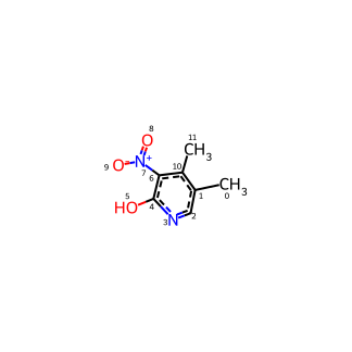 Cc1cnc(O)c([N+](=O)[O-])c1C